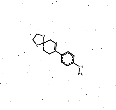 PNc1ccc(C2=CCC3(CC2)OCCO3)cc1